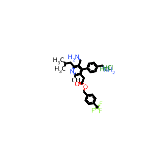 Cc1nc(CC(C)C)c(CN)c(-c2ccc(CN)cc2)c1CC(=O)OCc1ccc(C(F)(F)F)cc1.Cl.Cl